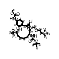 COC(=O)Nc1ccc2c(c1)N[C@H](C(F)(F)F)CCCC[C@H](NC(=O)OC(C)(C)C)c1nc-2c(Cl)n1COCC[Si](C)(C)C